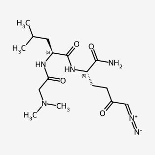 CC(C)C[C@H](NC(=O)CN(C)C)C(=O)N[C@@H](CCC(=O)C=[N+]=[N-])C(N)=O